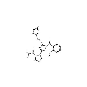 COc1ccccc1C(=O)n1nc(C2CCCN2C(=O)C(C)C)cc1NCc1ccc(Cl)s1